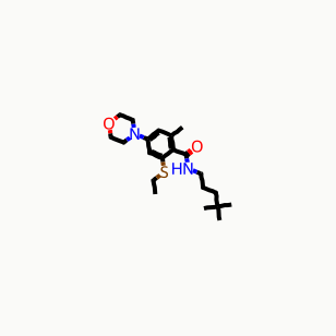 CCSc1cc(N2CCOCC2)cc(C)c1C(=O)NCCCC(C)(C)C